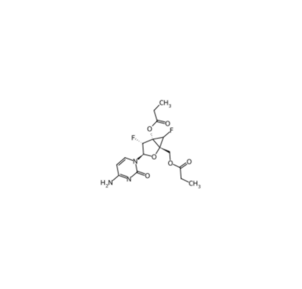 CCC(=O)OC[C@@]12O[C@@H](n3ccc(N)nc3=O)[C@H](F)[C@@]1(OC(=O)CC)C2F